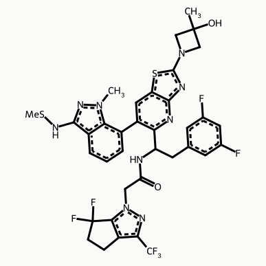 CSNc1nn(C)c2c(-c3cc4sc(N5CC(C)(O)C5)nc4nc3C(Cc3cc(F)cc(F)c3)NC(=O)Cn3nc(C(F)(F)F)c4c3C(F)(F)CC4)cccc12